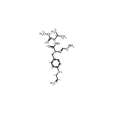 BOC=N[C@@H](Cc1ccc(OCC=C)cc1)C(=O)N[C@H](C(=O)OC)C(C)C